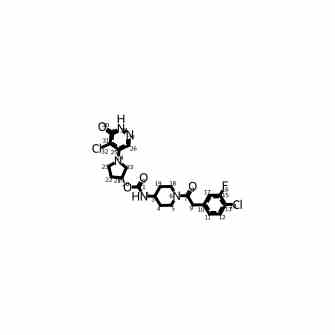 O=C(NC1CCN(C(=O)Cc2ccc(Cl)c(F)c2)CC1)O[C@@H]1CCN(c2cn[nH]c(=O)c2Cl)C1